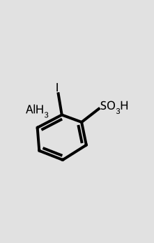 O=S(=O)(O)c1ccccc1I.[AlH3]